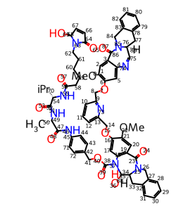 COc1cc2c(cc1OCc1cccc(COc3cc4c(cc3OC)C(=O)N3Cc5ccccc5C[C@H]3C(O)N4C(=O)OCc3ccc(NC(=O)[C@H](C)NC(=O)[C@@H](NC(=O)CCCCCN4C(=O)C=CC4O)C(C)C)cc3)n1)N=C[C@@H]1Cc3ccccc3CN1C2=O